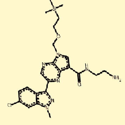 Cn1nc(-c2cnc3c(n2)c(C(=O)NCCN)cn3COCC[Si](C)(C)C)c2ccc(Cl)cc21